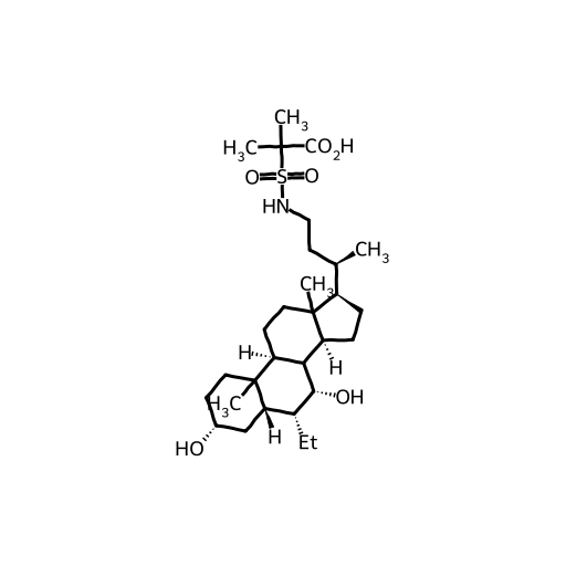 CC[C@H]1[C@@H](O)C2[C@@H]3CC[C@H]([C@H](C)CCNS(=O)(=O)C(C)(C)C(=O)O)C3(C)CC[C@@H]2C2(C)CC[C@@H](O)C[C@@H]12